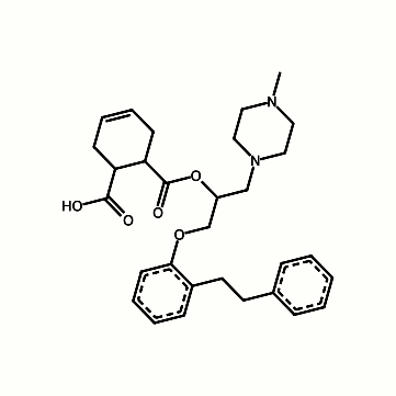 CN1CCN(CC(COc2ccccc2CCc2ccccc2)OC(=O)C2CC=CCC2C(=O)O)CC1